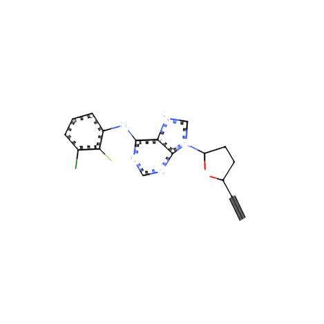 C#CC1CCC(n2cnc3c(Nc4cccc(Cl)c4F)ncnc32)O1